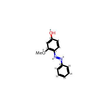 COc1cc(O)ccc1N=Nc1ccccc1